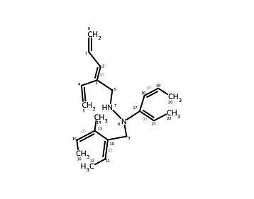 C=C/C=C(\C=C)CNN(CC(=C/C)/C(C)=C\C)C(/C=C\C)=C/C